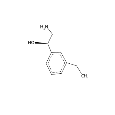 CCc1cccc([C@@H](O)CN)c1